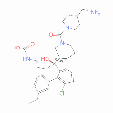 CCc1cccc(-c2c(Cl)cccc2[C@](O)(CCCNC(=O)O)[C@@H]2CCCN(C(=O)N3CCC(CN)CC3)C2)c1